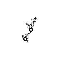 CC(C)(C)OC(=O)N1CCC(c2ccc(CCCOc3c(F)ccc(F)c3F)cc2)=C(C(=O)O)C1